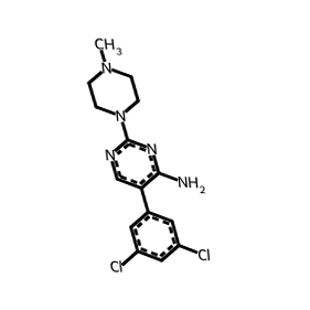 CN1CCN(c2ncc(-c3cc(Cl)cc(Cl)c3)c(N)n2)CC1